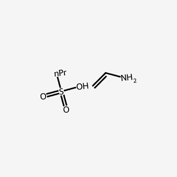 C=CN.CCCS(=O)(=O)O